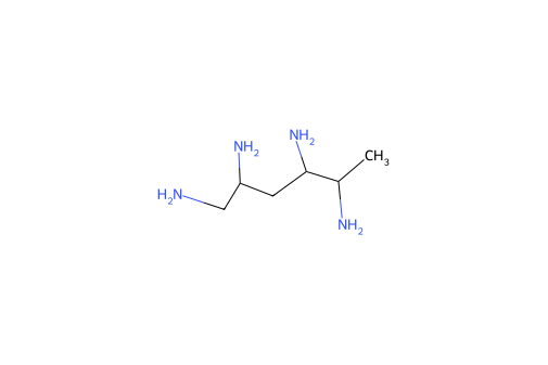 CC(N)C(N)CC(N)CN